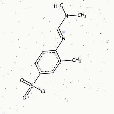 Cc1cc(S(=O)(=O)Cl)ccc1/N=C/N(C)C